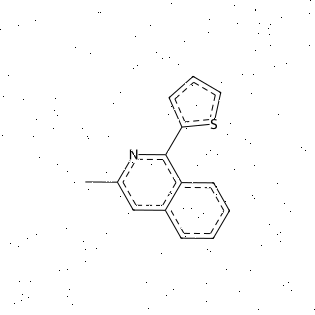 Cc1cc2ccccc2c(-c2cccs2)n1